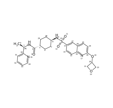 C[C@@H](NC(=O)[C@H]1CC[C@H](NS(=O)(=O)c2ccc3nc(OC4COC4)ccc3c2)CC1)c1ccccn1